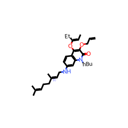 C=CCOc1c(OC(=CC)CC)c2ccc(NC/C=C(\C)CCC=C(C)C)cc2n(CCCC)c1=O